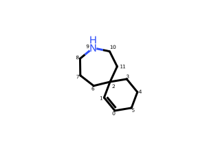 C1=CC2(CCC1)CCCNCC2